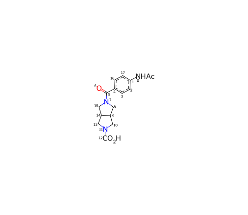 CC(=O)Nc1ccc(C(=O)N2CC3CN(C(=O)O)CC3C2)cc1